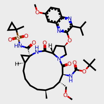 COC[C@@H]1C[C@@H](C)CCCC[C@H]2C[C@@]2(C(=O)NS(=O)(=O)C2(C)CC2)NC(=O)[C@@H]2C[C@@H](Oc3nc4cc(OC)ccc4nc3C(C)C)CN2C(=O)[C@H]1NC(=O)OC(C)(C)C